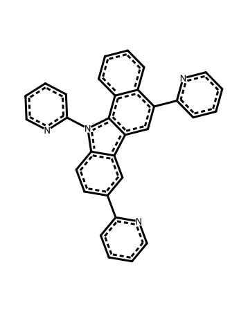 c1ccc(-c2ccc3c(c2)c2cc(-c4ccccn4)c4ccccc4c2n3-c2ccccn2)nc1